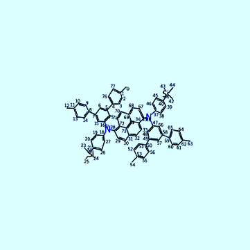 Cc1ccc(-c2cc(-c3ccc(C)cc3)cc(N(c3ccc([Si](C)(C)C)cc3)c3ccc4ccc5c(N(c6ccc([Si](C)(C)C)cc6)c6cc(-c7ccc(C)cc7)cc(-c7ccc(C)cc7)c6)ccc6ccc3c4c65)c2)cc1